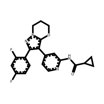 O=C(Nc1cc(-c2c(-c3ccc(F)cc3F)nn3c2OCCC3)ccn1)C1CC1